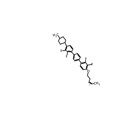 C/C=C\CCOc1ccc(-c2ccc(-c3ccc(C4CCC(C)CC4)c(F)c3F)cc2)c(F)c1F